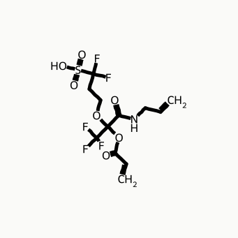 C=CCNC(=O)C(OCCC(F)(F)S(=O)(=O)O)(OC(=O)C=C)C(F)(F)F